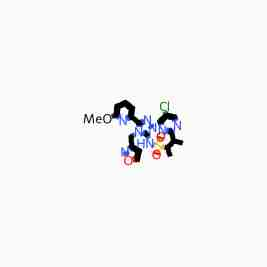 COc1cccc(-c2nnc(NS(=O)(=O)C(C)C(C)c3ncc(Cl)cn3)n2Cc2ccon2)n1